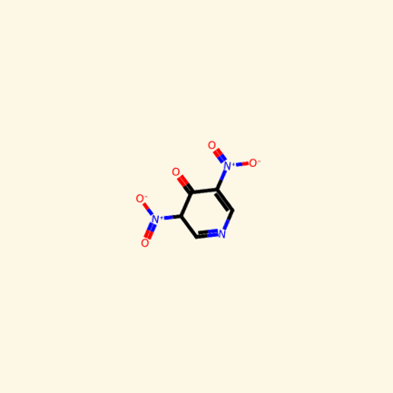 O=C1C([N+](=O)[O-])=CN=CC1[N+](=O)[O-]